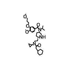 COCCCOc1cc(C(=O)N(C(C)C)[C@@H]2CC[C@H](CCN(C(=O)CC3CCCCC3)C3CC3)NC2)ccc1OC